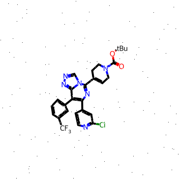 CC(C)(C)OC(=O)N1CC=C(c2nc(-c3ccnc(Cl)c3)c(-c3cccc(C(F)(F)F)c3)c3nncn23)CC1